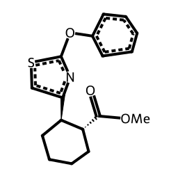 COC(=O)[C@@H]1CCCC[C@H]1c1csc(Oc2ccccc2)n1